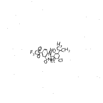 C=C(C)c1cc(Cl)c(CC)c(-c2nc3ccc(S(=O)(=O)C(F)(F)F)cc3c(=O)[nH]2)c1O